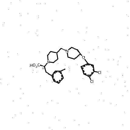 Cc1cccc(C[C@@H](C(=O)O)N2CCC(CN3CCC(Oc4ccc(Cl)c(Cl)c4)CC3)CC2)c1